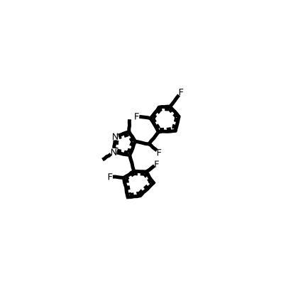 Cc1nn(C)c(-c2c(F)cccc2F)c1C(F)c1ccc(F)cc1F